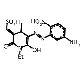 CCN1C(=O)C(=CS(=O)(=O)O)C(C)C(N=Nc2cc(N)ccc2S(=O)(=O)O)=C1O